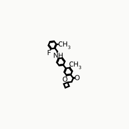 Cc1cc2c(cc1-c1ccc(NCc3c(C)cccc3F)cc1)OC1(CCC1)CC2=O